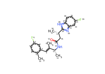 C/C(=C\c1cc(F)ccc1C)[C@@H](C)NC(=O)C[C@H](C)c1nc2cc(F)ccc2[nH]1